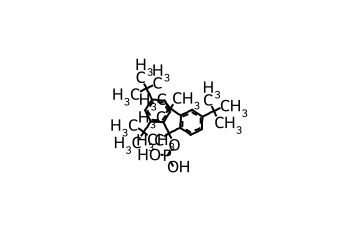 CC(C)(C)c1ccc(C(C)(OP(O)O)c2ccc(C(C)(C)C)cc2C(C)(C)C)c(C(C)(C)C)c1